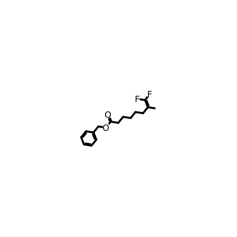 CC(CCCCCC(=O)OCc1ccccc1)=C(F)F